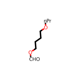 CCCOCCCCOC=O